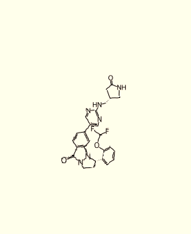 O=C1C[C@@H](CNc2ncc(-c3ccc4c(=O)n5n(c4c3)[C@H](c3ccccc3OC(F)F)CC5)cn2)CN1